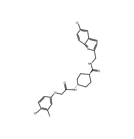 O=C(COc1ccc(Cl)c(F)c1)N[C@H]1CC[C@H](C(=O)NCc2ccc3cc(Cl)ccc3n2)CC1